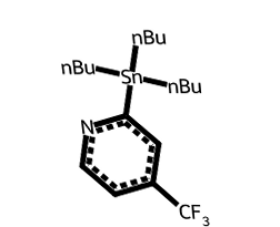 CCC[CH2][Sn]([CH2]CCC)([CH2]CCC)[c]1cc(C(F)(F)F)ccn1